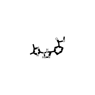 COC(=O)c1cccc(C2=NNN(c3nc(C)c(C)s3)N2)c1